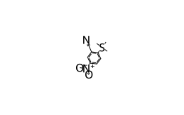 CS(C)(C)c1ccc([N+](=O)[O-])cc1C#N